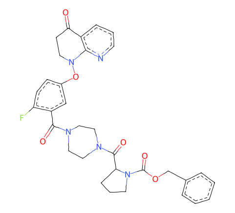 O=C1CCN(Oc2ccc(F)c(C(=O)N3CCN(C(=O)C4CCCN4C(=O)OCc4ccccc4)CC3)c2)c2ncccc21